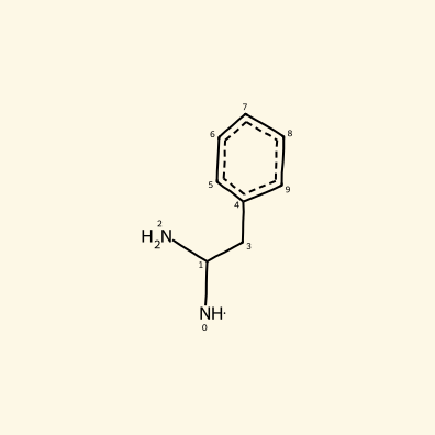 [NH]C(N)Cc1ccccc1